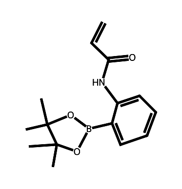 C=CC(=O)Nc1ccccc1B1OC(C)(C)C(C)(C)O1